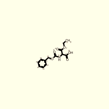 CCOC(=O)C(NC(=O)OCc1ccccc1)C(=O)O